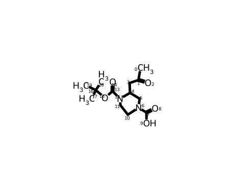 CC(=O)CC1CN(C(=O)O)CCN1C(=O)OC(C)(C)C